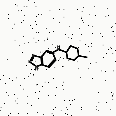 CC1CCC(Nc2ccc3[nH]nnc3c2)CC1